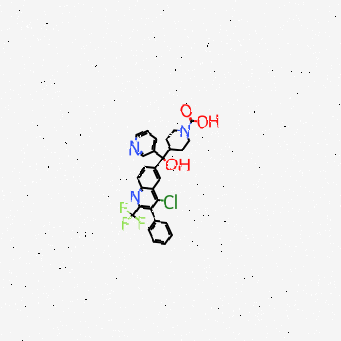 O=C(O)N1CCC(C(O)(c2cccnc2)c2ccc3nc(C(F)(F)F)c(-c4ccccc4)c(Cl)c3c2)CC1